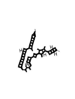 CC(C)C(C(C)CC1CC2CC(C3CC(C4C(C)C5C(C)C(C6CC7C6[C@@H]6C[C@H](C)[C@H]76)[C@H]5C4C)C3)C12)C(C)CC1CC2C1C1C2C2C1C1C2C2C1C1C(C3C(C)C4C3C3C4C4C5C6C(I)C6C5C34)C[C@@H]12